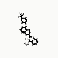 C[C@@H](NC(=O)c1ccc2c(Oc3ccc(C(F)(F)F)cc3)cccc2c1)c1cnccn1